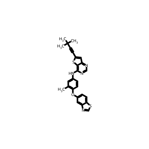 Cc1cc(Nc2ncnc3cc(C#CC(C)(C)C)sc23)ccc1Oc1ccc2scnc2c1